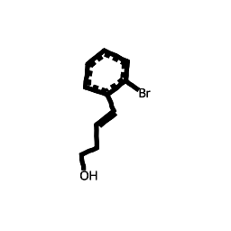 OCCC=Cc1ccccc1Br